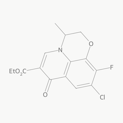 CCOC(=O)c1cn2c3c(c(F)c(Cl)cc3c1=O)OCC2C